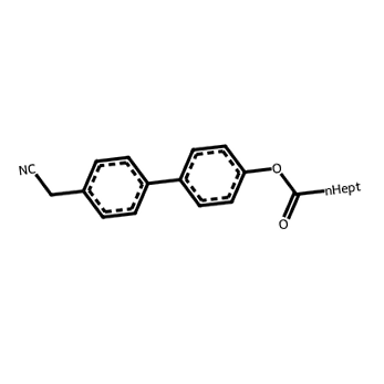 CCCCCCCC(=O)Oc1ccc(-c2ccc(CC#N)cc2)cc1